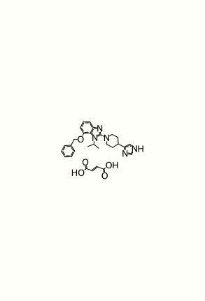 CC(C)n1c(N2CCC(c3c[nH]cn3)CC2)nc2cccc(OCc3ccccc3)c21.O=C(O)C=CC(=O)O